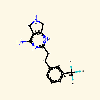 Nc1nc(CCc2cccc(C(F)(F)F)c2)nc2c1CNC2